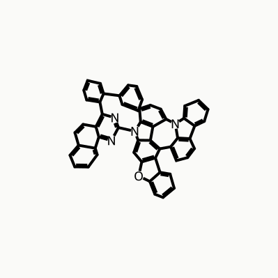 c1ccc(-c2ccccc2-c2nc(-n3c4cc5oc6ccccc6c5c5c6cccc7c8ccccc8n(c8cccc3c8c54)c76)nc3c2ccc2ccccc23)cc1